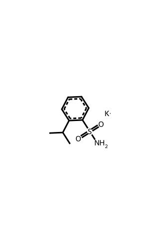 CC(C)c1ccccc1S(N)(=O)=O.[K]